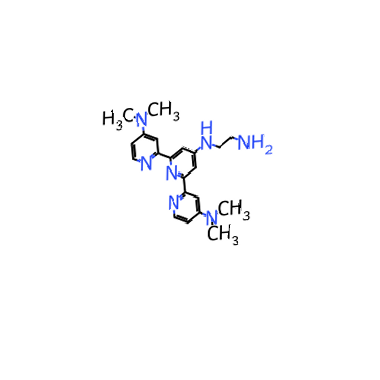 CN(C)c1ccnc(-c2cc(NCCN)cc(-c3cc(N(C)C)ccn3)n2)c1